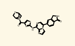 O=C1NCc2cc(-c3cnc(Nc4nc(C(=O)N5CC6CC5CO6)cs4)c4nccn34)ccc21